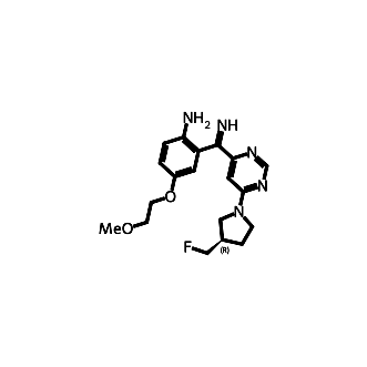 COCCOc1ccc(N)c(C(=N)c2cc(N3CC[C@@H](CF)C3)ncn2)c1